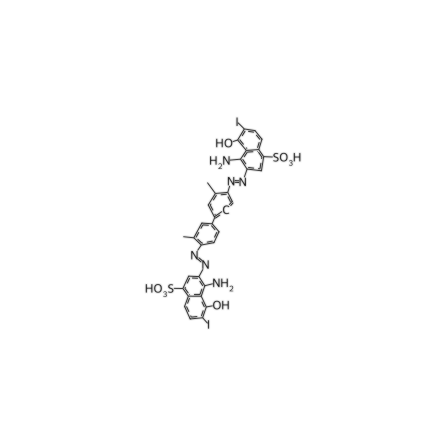 Cc1cc(-c2ccc(N=Nc3cc(S(=O)(=O)O)c4ccc(I)c(O)c4c3N)c(C)c2)ccc1N=Nc1cc(S(=O)(=O)O)c2ccc(I)c(O)c2c1N